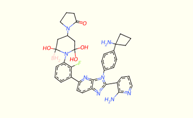 BC1(O)CC(N2CCCC2=O)CC(O)(O)N1c1cccc(-c2ccc3nc(-c4cccnc4N)n(-c4ccc(C5(N)CCC5)cc4)c3n2)c1F